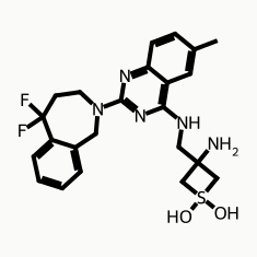 Cc1ccc2nc(N3CCC(F)(F)c4ccccc4C3)nc(NCC3(N)CS(O)(O)C3)c2c1